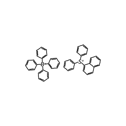 c1ccc([B-](c2ccccc2)(c2ccccc2)c2ccccc2)cc1.c1ccc([S+](c2ccccc2)c2cccc3ccccc23)cc1